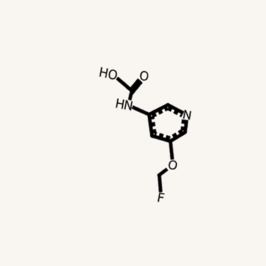 O=C(O)Nc1cncc(OCF)c1